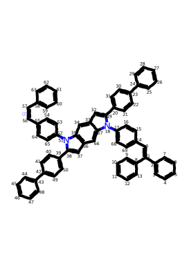 C(=C(c1ccccc1)c1ccccc1)c1ccc(-n2c(-c3ccc(-c4ccccc4)cc3)cc3cc4c(cc(-c5ccc(-c6ccccc6)cc5)n4-c4ccc(/C=C\c5ccccc5)cc4)cc32)cc1